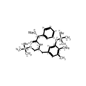 COc1c(C)cc(C[C@@H](CO[Si](C)(C)C(C)(C)C)NC(=O)[C@H](OC)c2ccccc2)cc1O[Si](C)(C)C(C)(C)C